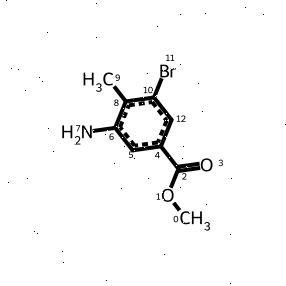 COC(=O)c1cc(N)c(C)c(Br)c1